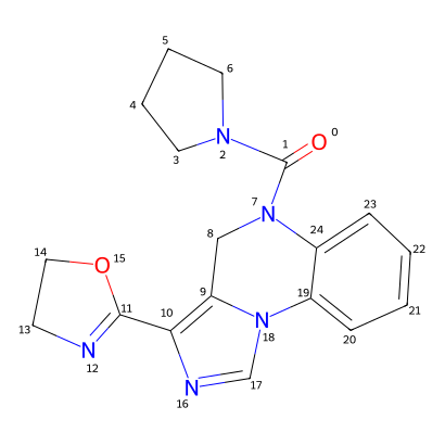 O=C(N1CCCC1)N1Cc2c(C3=NCCO3)ncn2-c2ccccc21